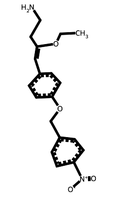 CCOC(=Cc1ccc(OCc2ccc([N+](=O)[O-])cc2)cc1)CCN